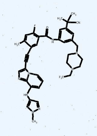 Cc1cc(F)c(C(=O)Nc2cc(CN3CCN(CC(F)(F)F)CC3)cc(C(C)(C)C#N)c2)cc1C#Cc1cnc2c(Nc3cnn(C)c3)cccn12